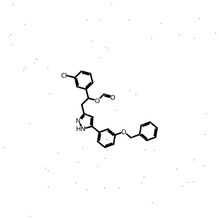 O=COC(Cc1cc(-c2cccc(OCc3ccccc3)c2)[nH]n1)c1cccc(Cl)c1